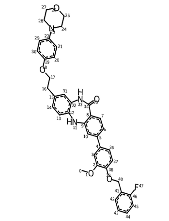 COc1cc(-c2ccc3c(c2)Nc2ccc(CCOc4ccc(N5CCOCC5)cc4)cc2NC3=O)ccc1OCc1ccccc1F